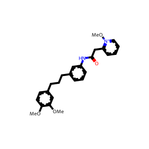 COc1ccc(CCCc2cccc(NC(=O)Cc3cccc[n+]3OC)c2)cc1OC